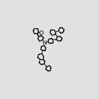 c1ccc(-c2ccc3ccc(-c4ccc(N(c5ccc(-c6ccccc6-c6ccccc6-c6ccccc6)cc5)c5ccc6c(c5)oc5ccccc56)cc4)cc3c2)cc1